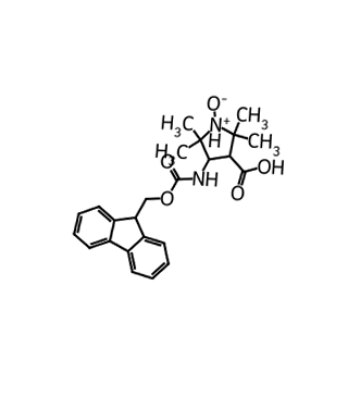 CC1(C)C(NC(=O)OCC2c3ccccc3-c3ccccc32)C(C(=O)O)C(C)(C)[NH+]1[O-]